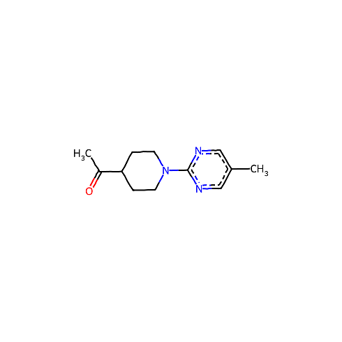 CC(=O)C1CCN(c2ncc(C)cn2)CC1